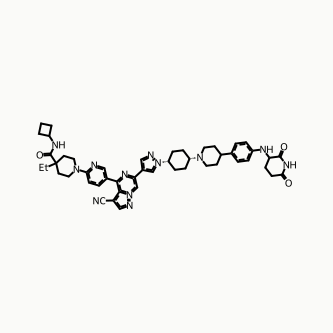 CCC1(C(=O)NC2CCC2)CCN(c2ccc(-c3nc(-c4cnn([C@H]5CC[C@@H](N6CCC(c7ccc(NC8CCC(=O)NC8=O)cc7)CC6)CC5)c4)cn4ncc(C#N)c34)cn2)CC1